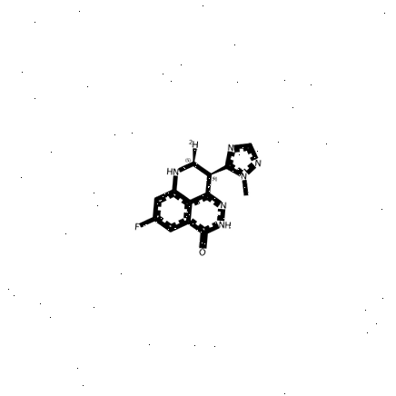 [2H][C@@H]1Nc2cc(F)cc3c(=O)[nH]nc(c23)[C@@H]1c1ncnn1C